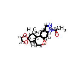 CC[C@@]12CCC3(C[C@@H]1CCOc1cc4c(cnn4C(C)=O)cc12)OCCO3